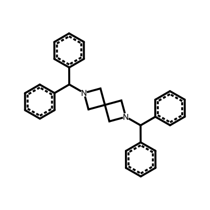 c1ccc(C(c2ccccc2)N2CC3(C2)CN(C(c2ccccc2)c2ccccc2)C3)cc1